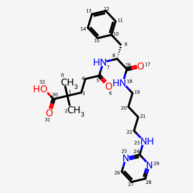 CC(C)(CCC(=O)N[C@H](Cc1ccccc1)C(=O)NCCCCNc1ncccn1)C(=O)O